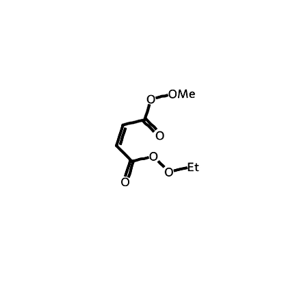 CCOOC(=O)/C=C\C(=O)OOC